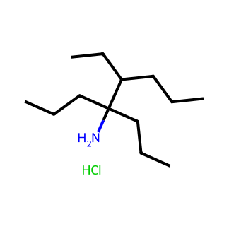 CCCC(CC)C(N)(CCC)CCC.Cl